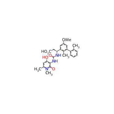 COc1cc(-c2ccccc2C)c(C)c([C@H](CC(=O)O)NC(=O)Nc2c(O)cc(C)n(C)c2=O)c1